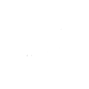 CCCCCCC(=O)c1scc(Br)c1Br